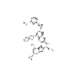 Cc1ccnc([C@H]2C[C@@H]2c2cc(N3CC4(COC4)C3)c3ccc(NC(C)c4cn5cc(C6CC6)cc(Br)c5n4)cc3n2)n1